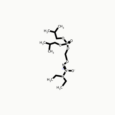 CCN(CC)/[N+]([O-])=N/OCOP(=O)(OCC(C)C)OCC(C)C